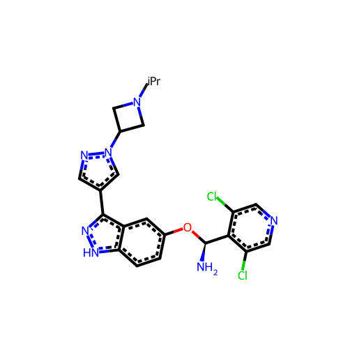 CC(C)N1CC(n2cc(-c3n[nH]c4ccc(O[C@H](N)c5c(Cl)cncc5Cl)cc34)cn2)C1